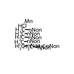 CCCCCCCCCC.CCCCCCCCCC.CCCCCCCCCC.CCCCCCCCCC.CCCCCCCCCC.CCCCCCCCCC.CCCCCCCCCC.Cl.[Mn]